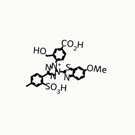 COc1ccc2nc(-n3nc(-c4ccc(C)cc4S(=O)(=O)O)n[n+]3-c3ccc(C(=O)O)cc3CO)sc2c1